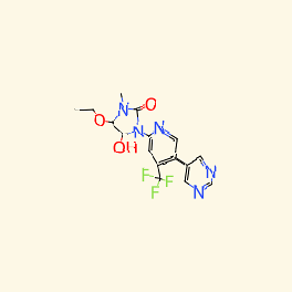 CCOC1C(O)N(c2cc(C(F)(F)F)c(-c3cncnc3)cn2)C(=O)N1C